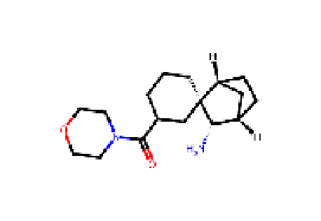 N[C@H]1[C@H]2CC[C@H](C2)[C@@]12CCCC(C(=O)N1CCOCC1)C2